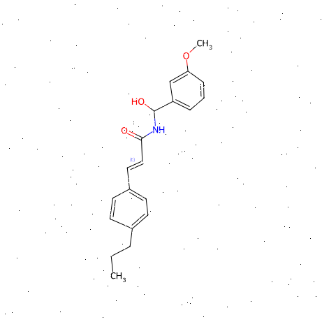 CCCc1ccc(/C=C/C(=O)NC(O)c2cccc(OC)c2)cc1